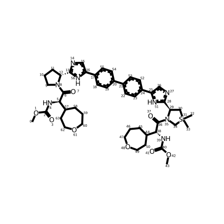 COC(=O)N[C@@H](C(=O)N1CCC[C@@H]1c1ncc(-c2ccc(-c3ccc(-c4cnc([C@H]5C[Si](C)(C)CN5C(=O)[C@H](NC(=O)OC)C5CCCOCC5)[nH]4)cc3)cc2)[nH]1)C1CCCOCC1